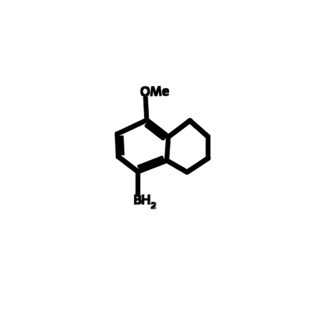 Bc1ccc(OC)c2c1CCCC2